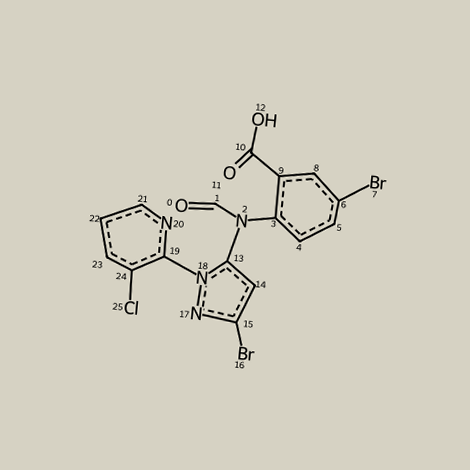 O=CN(c1ccc(Br)cc1C(=O)O)c1cc(Br)nn1-c1ncccc1Cl